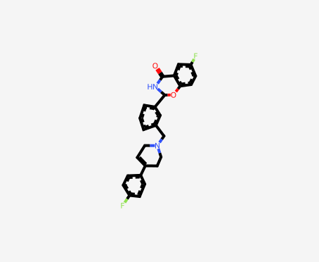 O=C1NC(c2cccc(CN3CC=C(c4ccc(F)cc4)CC3)c2)Oc2ccc(F)cc21